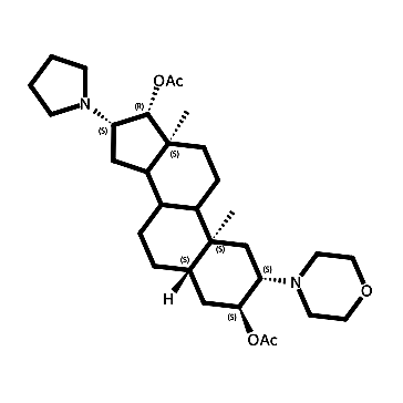 CC(=O)O[C@H]1C[C@@H]2CCC3C4C[C@H](N5CCCC5)[C@H](OC(C)=O)[C@@]4(C)CCC3[C@@]2(C)C[C@@H]1N1CCOCC1